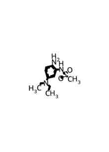 CCN(CC)c1ccc(N)c(NS(C)(=O)=O)c1